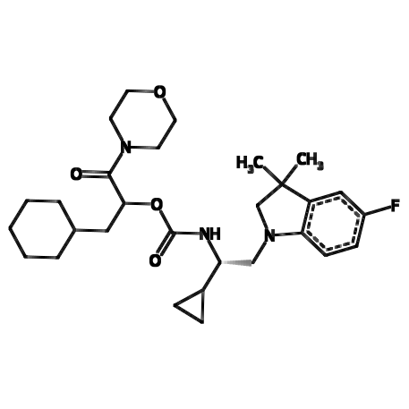 CC1(C)CN(C[C@@H](NC(=O)OC(CC2CCCCC2)C(=O)N2CCOCC2)C2CC2)c2ccc(F)cc21